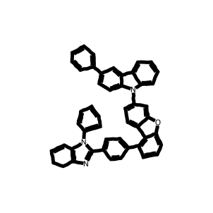 C1=Cc2c(nc(-c3ccc(-c4cccc5oc6cc(-n7c8ccccc8c8cc(-c9ccccc9)ccc87)ccc6c45)cc3)n2-c2ccccc2)CC1